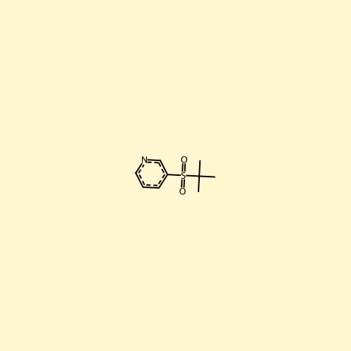 CC(C)(C)S(=O)(=O)c1cccnc1